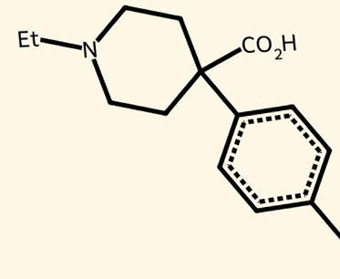 CCN1CCC(C(=O)O)(c2ccc(C)cc2)CC1